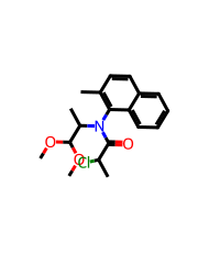 COC(OC)C(C)N(C(=O)C(C)Cl)c1c(C)ccc2ccccc12